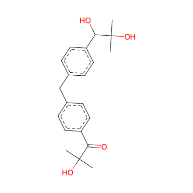 CC(C)(O)C(=O)c1ccc(Cc2ccc(C(O)C(C)(C)O)cc2)cc1